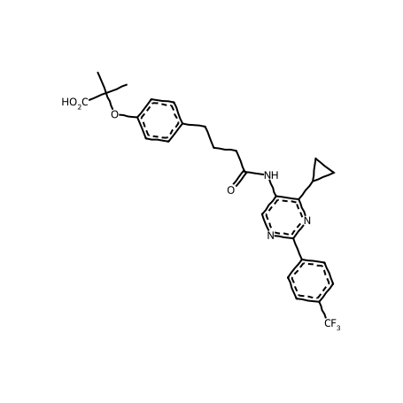 CC(C)(Oc1ccc(CCCC(=O)Nc2cnc(-c3ccc(C(F)(F)F)cc3)nc2C2CC2)cc1)C(=O)O